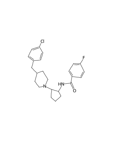 O=C(NC1CCCC1N1CCC(Cc2ccc(Cl)cc2)CC1)c1ccc(F)cc1